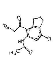 CC(=O)Nc1cc(Cl)c2c(c1C(=O)CBr)CCC2